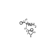 CC(=O)[C@H](N)Cc1ccco1